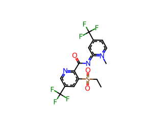 CCS(=O)(=O)c1cc(C(F)(F)F)cnc1C(=O)/N=c1\cc(C(F)(F)F)ccn1C